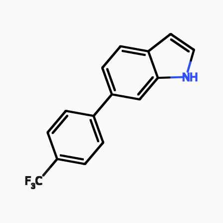 FC(F)(F)c1ccc(-c2ccc3cc[nH]c3c2)cc1